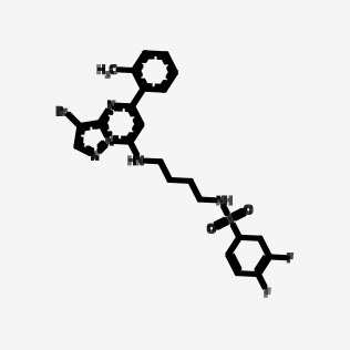 Cc1ccccc1-c1cc(NCCCCNS(=O)(=O)C2C=CC(F)=C(F)C2)n2ncc(Br)c2n1